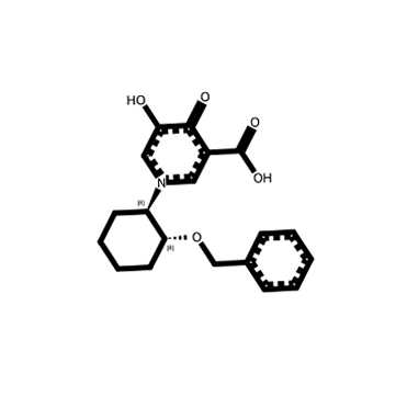 O=C(O)c1cn([C@@H]2CCCC[C@H]2OCc2ccccc2)cc(O)c1=O